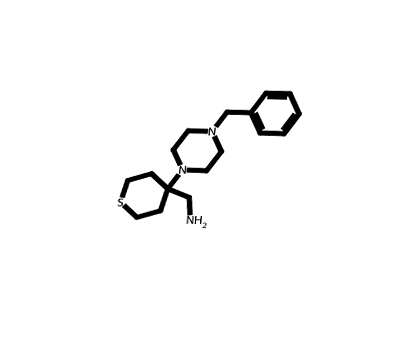 NCC1(N2CCN(Cc3ccccc3)CC2)CCSCC1